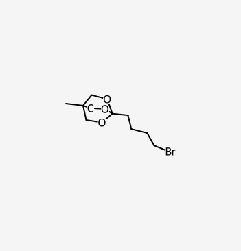 CC12COC(CCCCBr)(OC1)OC2